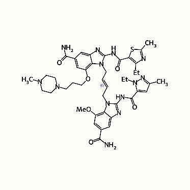 CCc1nc(C)sc1C(=O)Nc1nc2cc(C(N)=O)cc(OCCCN3CCN(C)CC3)c2n1C/C=C/Cn1c(NC(=O)c2cc(C)nn2CC)nc2cc(C(N)=O)cc(OC)c21